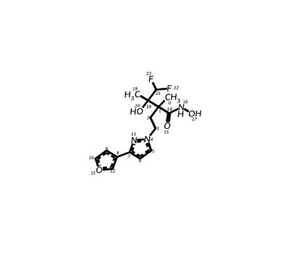 CC(CCn1ccc(-c2ccoc2)n1)(C(=O)NO)C(C)(O)C(F)F